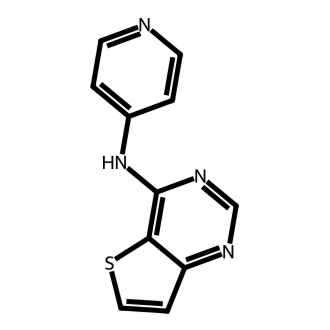 c1cc(Nc2ncnc3ccsc23)ccn1